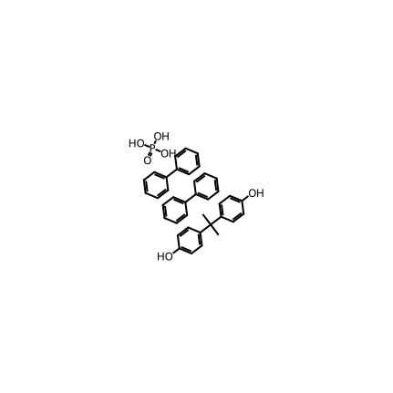 CC(C)(c1ccc(O)cc1)c1ccc(O)cc1.O=P(O)(O)O.c1ccc(-c2ccccc2)cc1.c1ccc(-c2ccccc2)cc1